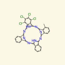 Cc1cccc2c1-c1nc-2nc2[nH]c(nc3nc(nc4[nH]c(n1)c1c(Cl)c(Cl)c(Cl)c(Cl)c41)-c1ccccc1-3)c1ccccc21